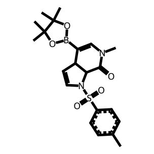 Cc1ccc(S(=O)(=O)N2C=CC3C(B4OC(C)(C)C(C)(C)O4)=CN(C)C(=O)C32)cc1